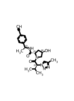 C#Cc1ccc([C@H](C)NC(=O)[C@@H]2C[C@@H](O)CN2C(=O)[C@H](C(C)C)n2cc(C)nn2)cc1